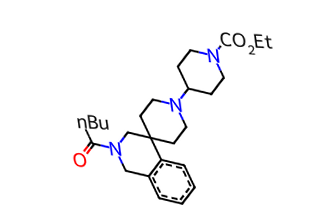 CCCCC(=O)N1Cc2ccccc2C2(CCN(C3CCN(C(=O)OCC)CC3)CC2)C1